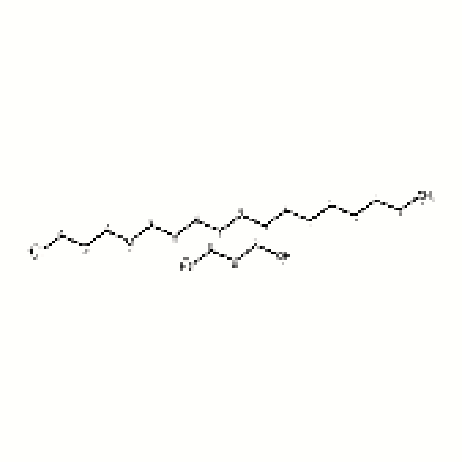 CCCCCCCCCCCCCOCCCC.OCCCS